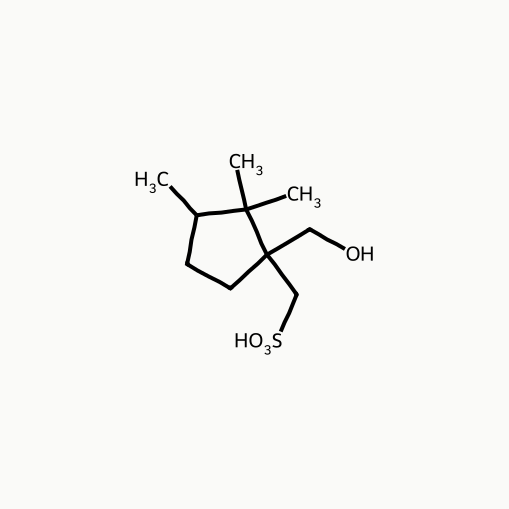 CC1CCC(CO)(CS(=O)(=O)O)C1(C)C